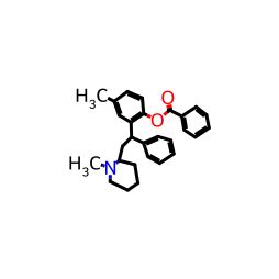 Cc1ccc(OC(=O)c2ccccc2)c(C(CC2CCCCN2C)c2ccccc2)c1